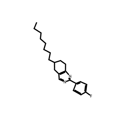 CCCCCCCCC1CCc2nc(-c3ccc(F)cc3)ncc2C1